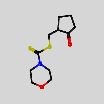 O=C1CCCC1CSC(=S)N1CCOCC1